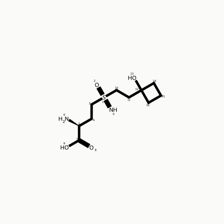 N=S(=O)(CC[C@H](N)C(=O)O)CCC1(O)CCC1